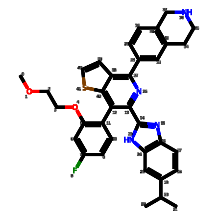 COCCOc1cc(F)ccc1-c1c(-c2nc3ccc(C(C)C)cc3[nH]2)nc(-c2ccc3c(c2)CCNC3)c2ccsc12